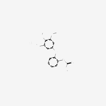 COc1cc(Oc2ccccc2NC(=N)SC)cc(OC)c1OC.I